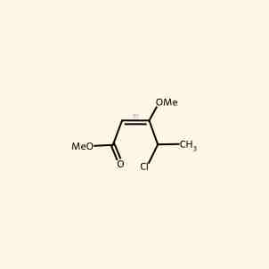 COC(=O)/C=C(/OC)C(C)Cl